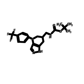 CC(C)(C)OC(=O)NCC1Cc2[nH]ncc2N(c2ccc(C(F)(F)F)cc2)C1